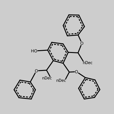 CCCCCCCCCCC(Oc1ccccc1)c1ccc(O)c(C(CCCCCCCCCC)Oc2ccccc2)c1C(CCCCCCCCCC)Oc1ccccc1